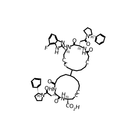 O=C1CCCC(C2CCCCCC(=O)N[C@@H](CC(=O)N3CCC[C@@H]3c3ccccc3)C(=O)N[C@H](c3nc4cccc(F)c4[nH]3)CCCC2)CCCCCC[C@@H](C(=O)O)NC(=O)[C@H](CC(=O)N2CCC[C@@H]2c2ccccc2)N1